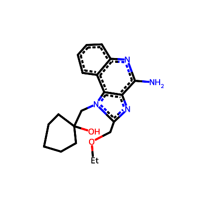 CCOCc1nc2c(N)nc3ccccc3c2n1CC1(O)CCCCC1